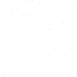 CCN(CC)CCNC(=O)c1ccc(COc2ccccc2)cc1OC